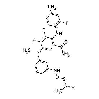 CCN(C)SONc1cccc(Cc2cc(C(N)=O)c(Nc3ccc(C)cc3F)c(F)c2F)c1.S